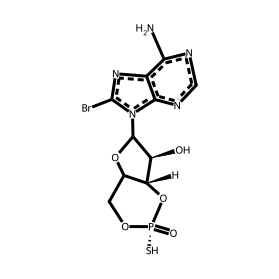 Nc1ncnc2c1nc(Br)n2C1OC2CO[P@@](=O)(S)O[C@H]2[C@@H]1O